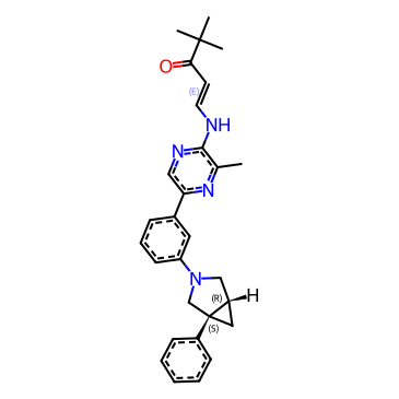 Cc1nc(-c2cccc(N3C[C@@H]4C[C@]4(c4ccccc4)C3)c2)cnc1N/C=C/C(=O)C(C)(C)C